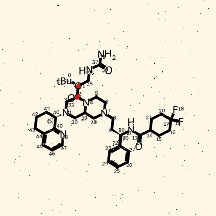 CC(C)(C)OC(=O)N1CCN(CC[C@@H](NC(=O)C2CCC(F)(F)CC2)c2ccccc2)CC1CN(CCCCNC(N)=O)[C@H]1CCCc2cccnc21